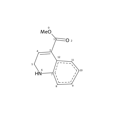 COC(=O)C1=CCNc2ccccc21